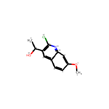 COc1ccc2cc(C(C)O)c(Cl)nc2c1